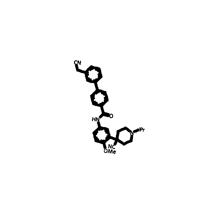 COc1ccc(NC(=O)c2ccc(-c3cccc(CC#N)c3)cc2)cc1C1(C#N)CCN(C(C)C)CC1